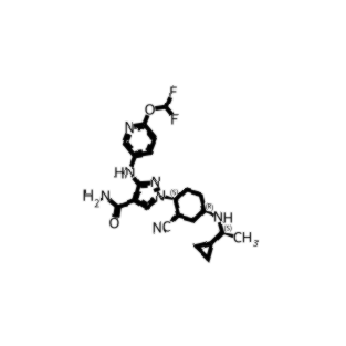 C[C@H](N[C@@H]1CC[C@H](n2cc(C(N)=O)c(Nc3ccc(OC(F)F)nc3)n2)C(C#N)C1)C1CC1